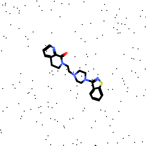 O=C1c2ncccc2CCN1CCN1CCN(c2nsc3ccccc23)CC1